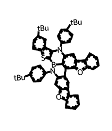 CC(C)(C)c1ccc(N2B3c4sc5ccc(C(C)(C)C)cc5c4N(c4ccc(C(C)(C)C)cc4)c4cc5c(oc6ccccc65)c(c43)-c3cc4c(cc32)oc2ccccc24)cc1